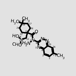 Cc1ccc2nc(N(N)C(=O)C3(CN(O)C=O)CCC(C)(C)CC3)nnc2c1